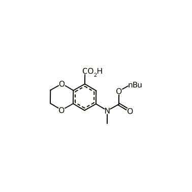 CCCCOC(=O)N(C)c1cc2c(c(C(=O)O)c1)OCCO2